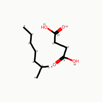 CCCCCC(C)C.O=C(O)CCC(=O)O